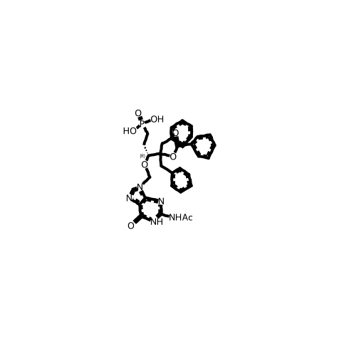 CC(=O)Nc1nc2c(ncn2CO[C@H](CCP(=O)(O)O)C(Cc2ccccc2)(Cc2ccccc2)OC(=O)c2ccccc2)c(=O)[nH]1